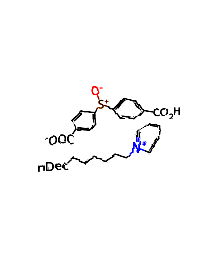 CCCCCCCCCCCCCCCC[n+]1ccccc1.O=C([O-])c1ccc([S+]([O-])c2ccc(C(=O)O)cc2)cc1